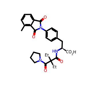 CCC(CC)(C(=O)N[C@@H](Cc1ccc(N2C(=O)c3cccc(C)c3C2=O)cc1)C(=O)O)C(=O)N1CCCC1